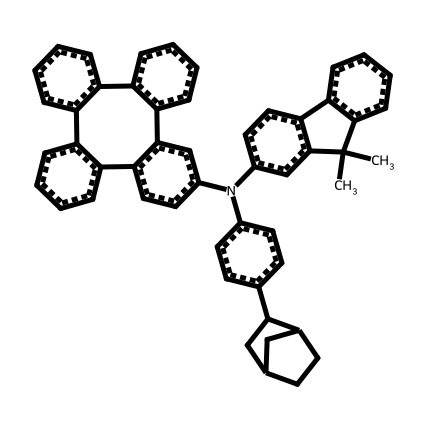 CC1(C)c2ccccc2-c2ccc(N(c3ccc(C4CC5CCC4C5)cc3)c3ccc4c(c3)-c3ccccc3-c3ccccc3-c3ccccc3-4)cc21